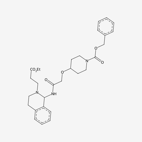 CCOC(=O)CCN1CCc2ccccc2C1NC(=O)COC1CCN(C(=O)OCc2ccccc2)CC1